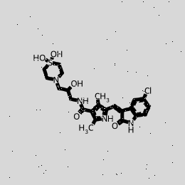 Cc1[nH]c(C=C2C(=O)Nc3ccc(Cl)cc32)c(C)c1C(=O)NCC(O)CN1CCS(O)(O)CC1